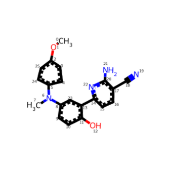 COc1ccc(N(C)c2ccc(O)c(-c3ccc(C#N)c(N)n3)c2)cc1